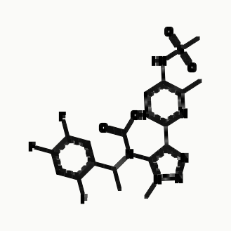 Cc1nc(-c2nnn(C)c2N(C(=O)O)C(C)c2cc(F)c(F)cc2F)ccc1NS(C)(=O)=O